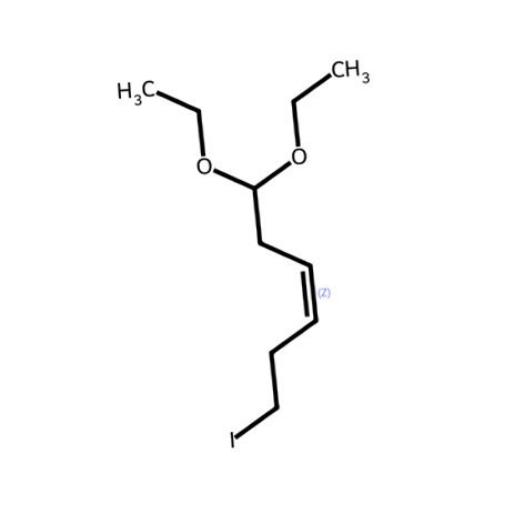 CCOC(C/C=C\CCI)OCC